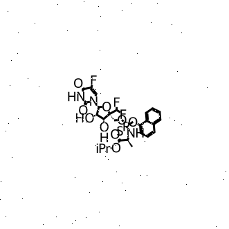 CC(C)OC(=O)[C@H](C)NP(=S)(OC[C@@]1(C(F)F)O[C@@H](n2cc(F)c(=O)[nH]c2=O)[C@H](O)[C@H]1O)Oc1cccc2ccccc12